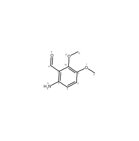 COc1ccc(N)c(C=O)c1OC